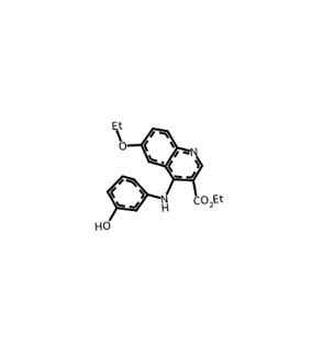 CCOC(=O)c1cnc2ccc(OCC)cc2c1Nc1cccc(O)c1